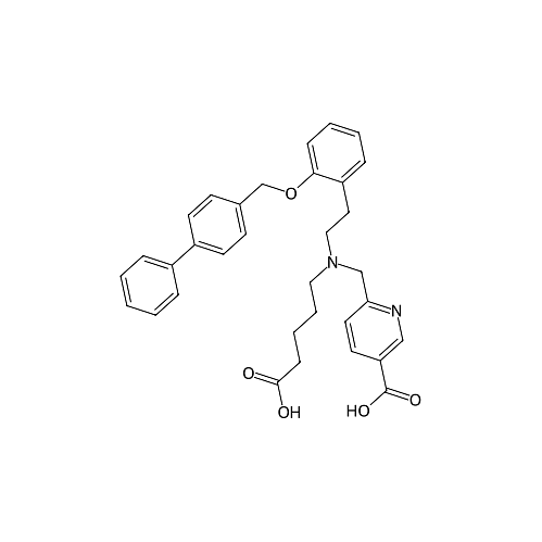 O=C(O)CCCCN(CCc1ccccc1OCc1ccc(-c2ccccc2)cc1)Cc1ccc(C(=O)O)cn1